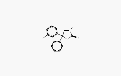 CC(=O)N1CC(c2ccccc2)(c2cccc(Br)c2)NC1=N